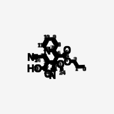 CCCOC(=O)C1=C2C=CC=CN2C(C#N)=C(C(=O)O)C1(C#N)OC